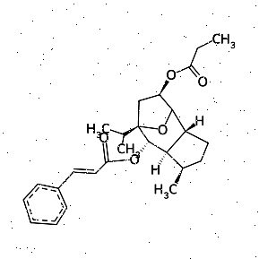 CCC(=O)O[C@@H]1C[C@]2(C(C)C)OC1[C@@H]1CC[C@@H](C)[C@H]1[C@@H]2OC(=O)/C=C/c1ccccc1